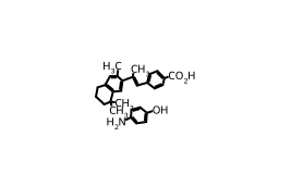 C/C(=C\c1ccc(C(=O)O)cc1)c1cc2c(cc1C)CCCC2(C)C.Nc1ccc(O)cc1